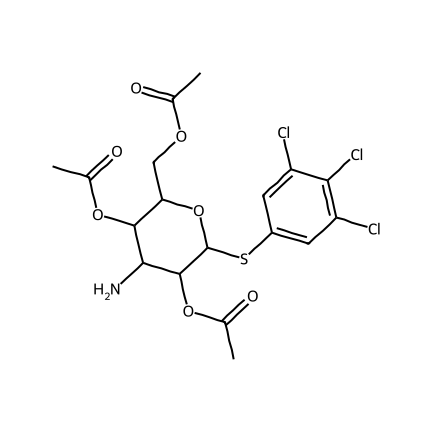 CC(=O)OCC1OC(Sc2cc(Cl)c(Cl)c(Cl)c2)C(OC(C)=O)C(N)C1OC(C)=O